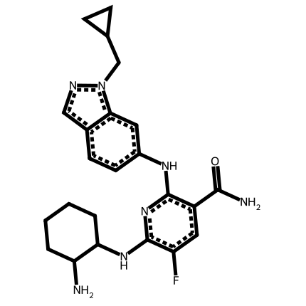 NC(=O)c1cc(F)c(NC2CCCCC2N)nc1Nc1ccc2cnn(CC3CC3)c2c1